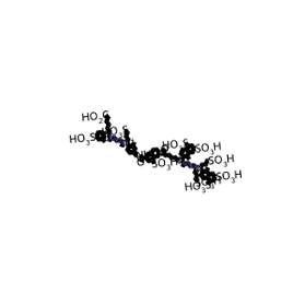 C\C(=C/C=C/C(C)=[N+](\CCCS(=O)(=O)O)c1ccc(CNC(=O)c2cc3c(c(S(=O)(=O)O)c2)CN(C(=O)CCCCCN(/C(C)=C/C=C/C(CCCS(=O)(=O)O)=[N+](\CCCS(=O)(=O)O)c2ccc4c(S(=O)(=O)O)cc(S(=O)(=O)O)cc4c2C)c2ccc4c(S(=O)(=O)O)cc(S(=O)(=O)O)cc4c2C)CC3)cc1C)N(CCCCCC(=O)O)c1ccc(S(=O)(=O)O)cc1C